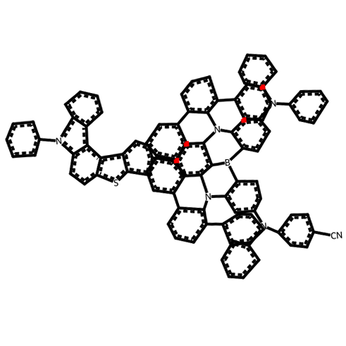 N#Cc1ccc(N(c2ccccc2)c2ccc3c(c2)N(c2c(-c4ccccc4)cccc2-c2ccccc2)c2cc(-c4ccc5c(c4)sc4ccc6c(c7ccccc7n6-c6ccccc6)c45)cc4c2B3c2ccc(N(c3ccccc3)c3ccccc3)cc2N4c2c(-c3ccccc3)cccc2-c2ccccc2)cc1